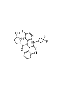 O=C(NC1CC(F)(F)C1)[C@H](c1ccccc1Cl)N(C(=O)[C@@H]1CCC(O)N1)c1cncc(F)c1